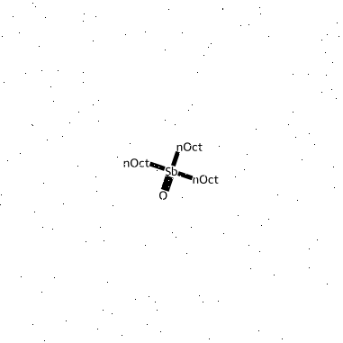 CCCCCCC[CH2][Sb](=[O])([CH2]CCCCCCC)[CH2]CCCCCCC